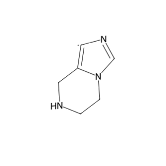 [c]1ncn2c1CNCC2